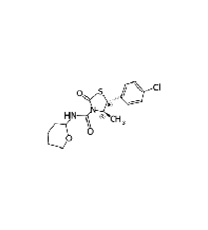 C[C@@H]1[C@@H](c2ccc(Cl)cc2)SC(=O)N1C(=O)NC1CCCCO1